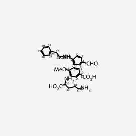 CC(=O)Nc1ccc(C=O)cc1.COc1ccc(C(=O)O)cc1.NCCC[C@H](N)C(=O)O.NCCc1ccccc1